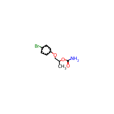 CC(COc1ccc(Br)cc1)OC(N)=O